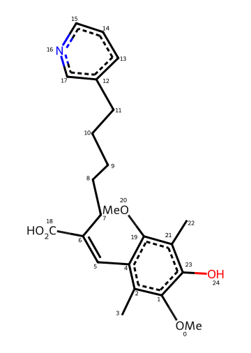 COc1c(C)c(/C=C(\CCCCCc2cccnc2)C(=O)O)c(OC)c(C)c1O